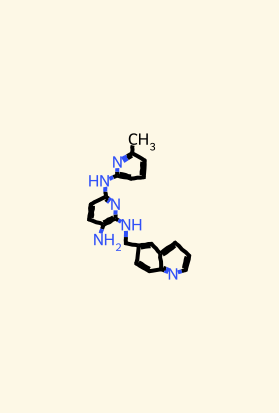 Cc1cccc(Nc2ccc(N)c(NCc3ccc4ncccc4c3)n2)n1